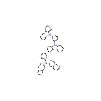 c1cc(-c2ccc3c(c2)c2ccccc2n3-c2cccc(-n3c4ccccc4c4ccccc43)c2)cc(N(c2ccc3ccccc3c2)c2ccc3ccccc3c2)c1